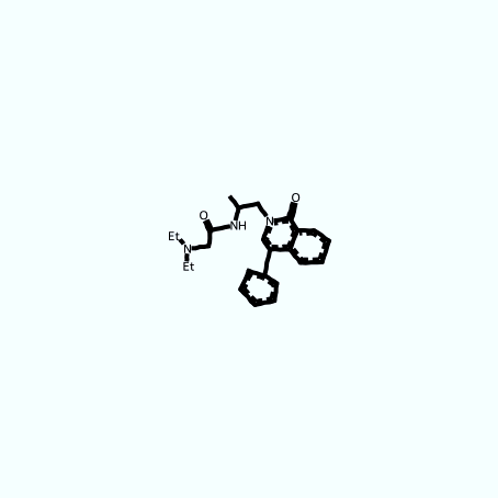 CCN(CC)CC(=O)NC(C)Cn1cc(-c2ccccc2)c2ccccc2c1=O